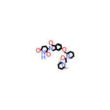 C[C@@H]1CCC[C@H](C)N1CC(=O)N1CCCC[C@@H]1COc1ccc2c(c1)CN(C1CCC(=O)NC1=O)C2=O